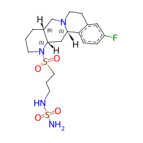 NS(=O)(=O)NCCCS(=O)(=O)N1CCC[C@@H]2CN3CCc4cc(F)ccc4[C@@H]3C[C@@H]21